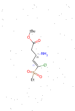 CCS(=O)(=O)/C(Cl)=C/[C@@H](N)CC(=O)OC(C)(C)C